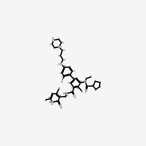 CCN(C(=O)C1CCCC1)c1cc(-c2ccc(OCCCN3CCOCC3)cc2F)cc(C(=O)NCc2c(C)cc(C)[nH]c2=O)c1C